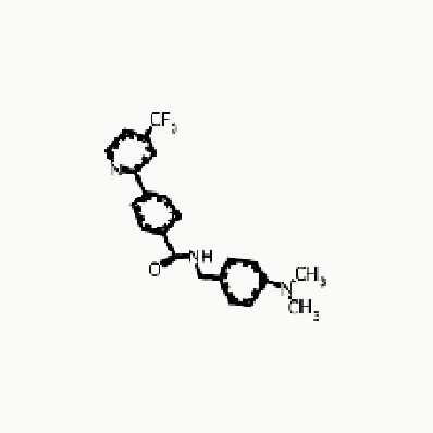 CN(C)c1ccc(CNC(=O)c2ccc(-c3cc(C(F)(F)F)ccn3)cc2)cc1